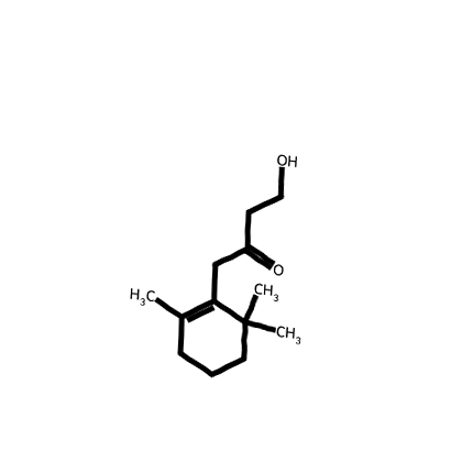 CC1=C(CC(=O)CCO)C(C)(C)CCC1